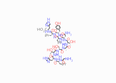 CC(C)C[C@H](NC(=O)CN)C(=O)N[C@@H](Cc1c[nH]cn1)C(=O)N[C@H](C(=O)N[C@@H](CO)C(=O)N[C@@H](C)C(=O)N[C@H](C(=O)N[C@@H](CC(N)=O)C(=O)N[C@@H](CC(C)C)C(=O)N[C@@H](Cc1ccc(O)cc1)C(=O)N[C@@H](CC(C)C)C(=O)N[C@@H](Cc1c[nH]cn1)C(=O)O)[C@@H](C)O)[C@@H](C)O